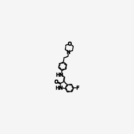 O=C1Nc2ccc(F)cc2C1=CNc1ccc(CCN2CCOCC2)cc1